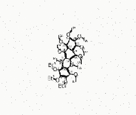 CCOc1c(OCC)c(OCC)c2c(c1OI)N(I)c1c(c(OI)c3c(OI)c(OI)c(OI)c(OI)c3c1OI)N2I